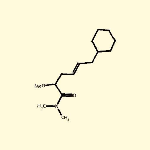 COC(CC=CCC1CCCCC1)C(=O)N(C)C